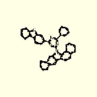 c1ccc(-c2nc(-c3ccc4c(c3)oc3ccccc34)nc(-n3c4cc5ccccc5cc4c4ccc5ccccc5c43)n2)cc1